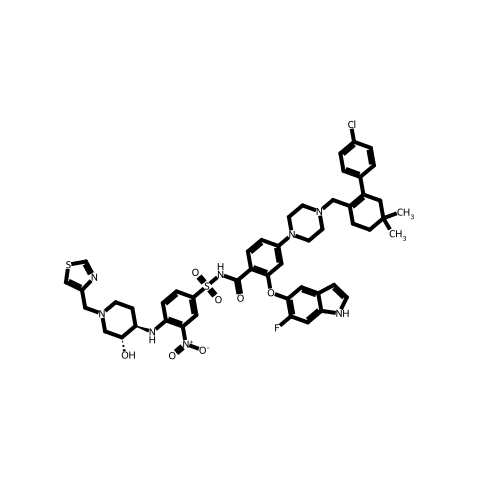 CC1(C)CCC(CN2CCN(c3ccc(C(=O)NS(=O)(=O)c4ccc(N[C@@H]5CCN(Cc6cscn6)C[C@H]5O)c([N+](=O)[O-])c4)c(Oc4cc5cc[nH]c5cc4F)c3)CC2)=C(c2ccc(Cl)cc2)C1